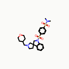 CN(C)S(=O)(=O)c1ccc(S(=O)(=O)N2CC3(CCN(CC4CCOCC4)C3)c3ccccc32)cc1